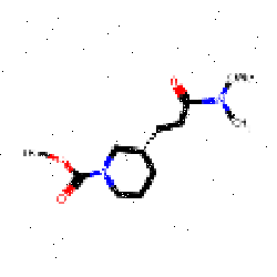 CON(C)C(=O)CC[C@@H]1CCCN(C(=O)OC(C)(C)C)C1